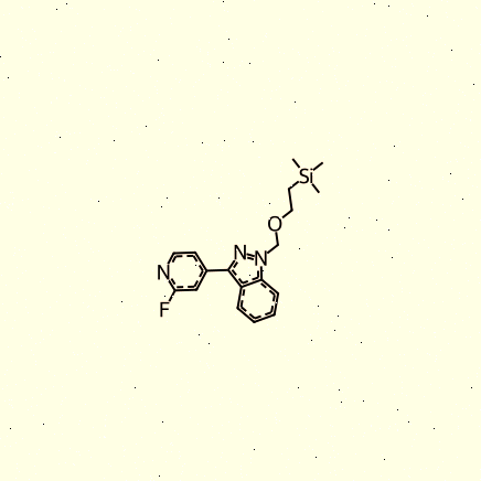 C[Si](C)(C)CCOCn1nc(-c2ccnc(F)c2)c2ccccc21